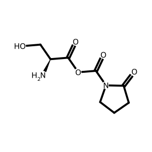 N[C@@H](CO)C(=O)OC(=O)N1CCCC1=O